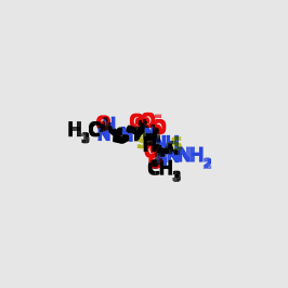 CO/N=C(\C(=O)N[C@@H]1C(=O)N2C(C(=O)[O-])=C(C[n+]3cccc(-c4noc(C)n4)c3)CS[C@H]12)c1csc(N)n1